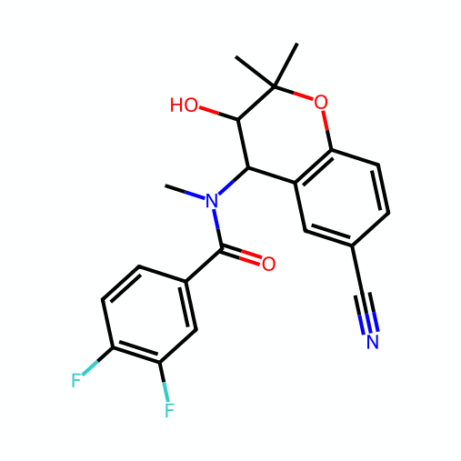 CN(C(=O)c1ccc(F)c(F)c1)C1c2cc(C#N)ccc2OC(C)(C)C1O